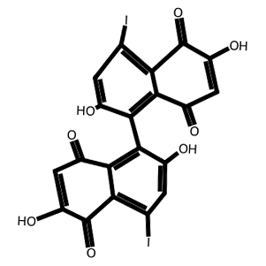 O=C1C(O)=CC(=O)c2c1c(I)cc(O)c2-c1c(O)cc(I)c2c1C(=O)C=C(O)C2=O